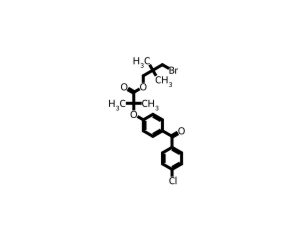 CC(C)(CBr)COC(=O)C(C)(C)Oc1ccc(C(=O)c2ccc(Cl)cc2)cc1